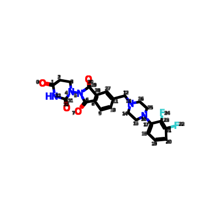 O=C1CCN(N2C(=O)c3ccc(CN4CCN(c5cccc(F)c5F)CC4)cc3C2=O)C(=O)N1